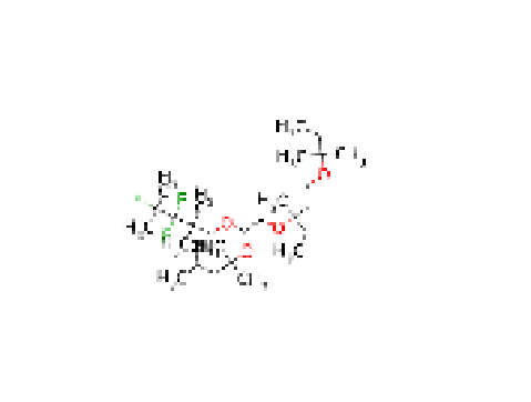 CCC(C)(C)OCCC(C)(CC)OCC(OCC(C)(C)C(F)(F)C(C)(C)F)OC(C)(C)CC(C)C